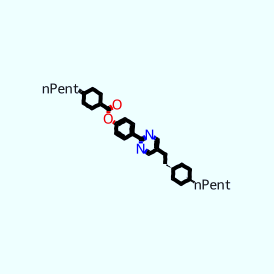 CCCCCC1CCC(C(=O)Oc2ccc(-c3ncc(CC[C@H]4CC[C@H](CCCCC)CC4)cn3)cc2)CC1